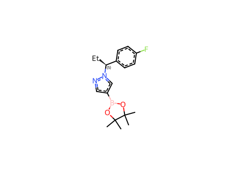 CC[C@@H](c1ccc(F)cc1)n1cc(B2OC(C)(C)C(C)(C)O2)cn1